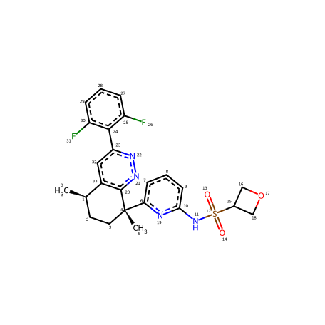 C[C@@H]1CC[C@@](C)(c2cccc(NS(=O)(=O)C3COC3)n2)c2nnc(-c3c(F)cccc3F)cc21